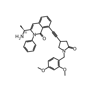 COc1ccc(CN2CC(C#Cc3cccc4cc([C@H](C)N)n(-c5ccccc5)c(=O)c34)CC2=O)c(OC)c1